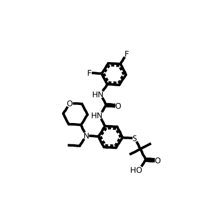 CCN(c1ccc(SC(C)(C)C(=O)O)cc1NC(=O)Nc1ccc(F)cc1F)C1CCOCC1